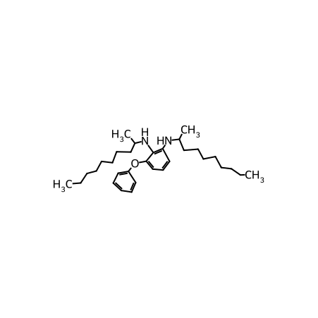 CCCCCCCCC(C)Nc1cccc(Oc2ccccc2)c1NC(C)CCCCCCCC